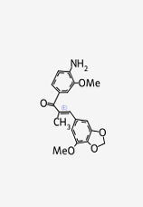 COc1cc(C(=O)/C(C)=C/c2cc(OC)c3c(c2)OCO3)ccc1N